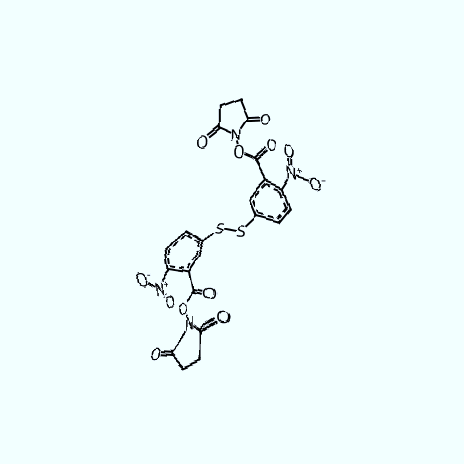 O=C(ON1C(=O)CCC1=O)c1cc(SSc2ccc([N+](=O)[O-])c(C(=O)ON3C(=O)CCC3=O)c2)ccc1[N+](=O)[O-]